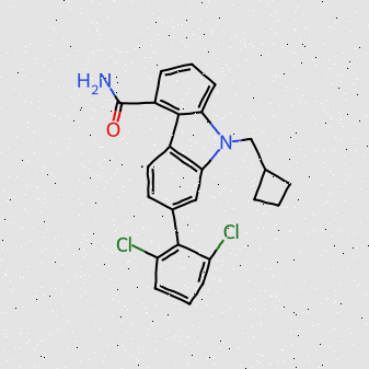 NC(=O)c1cccc2c1c1[c]cc(-c3c(Cl)cccc3Cl)cc1n2CC1CCC1